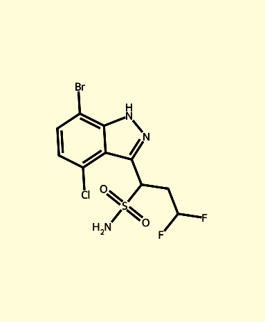 NS(=O)(=O)C(CC(F)F)c1n[nH]c2c(Br)ccc(Cl)c12